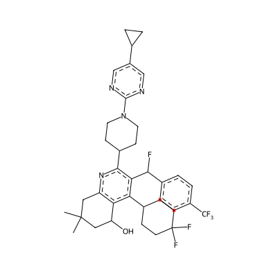 CC1(C)Cc2nc(C3CCN(c4ncc(C5CC5)cn4)CC3)c(C(F)c3ccc(C(F)(F)F)cc3)c(C3CCC(F)(F)CC3)c2C(O)C1